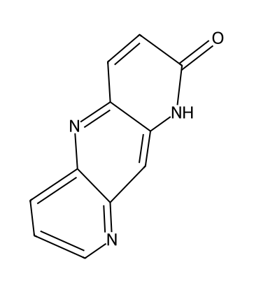 O=c1ccc2nc3cccnc3cc2[nH]1